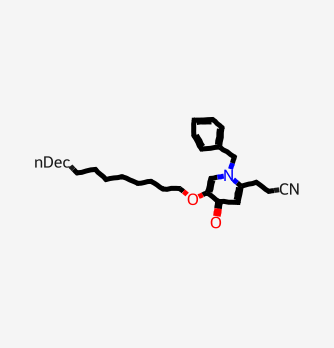 CCCCCCCCCCCCCCCCCCOc1cn(Cc2ccccc2)c(CCC#N)cc1=O